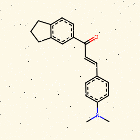 CN(C)c1ccc(C=CC(=O)c2ccc3c(c2)CCC3)cc1